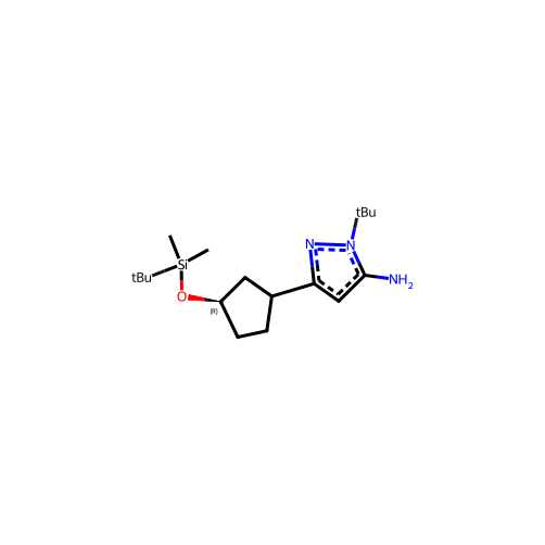 CC(C)(C)n1nc(C2CC[C@@H](O[Si](C)(C)C(C)(C)C)C2)cc1N